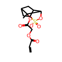 C=CC(=O)OCC(=O)OC1(C)C2CC3C1OS(=O)(=O)C3C2